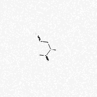 CC(CC=N)C(N)=O.Cl